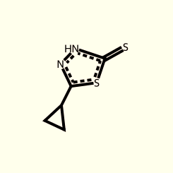 S=c1[nH]nc(C2CC2)s1